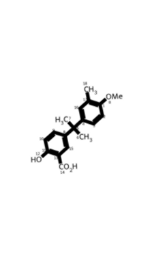 COc1ccc(C(C)(C)c2ccc(O)c(C(=O)O)c2)cc1C